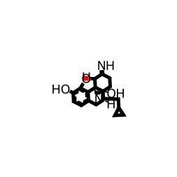 N=C1CC[C@@]2(O)[C@H]3Cc4ccc(O)c5c4[C@@]2(CCN3CC2CC2)[C@H]1O5